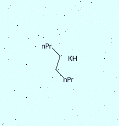 CCCCCCCC.[KH]